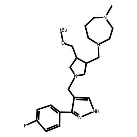 CN1CCCN(CC2CN(Cc3c[nH]nc3-c3ccc(F)cc3)CC2COC(C)(C)C)CC1